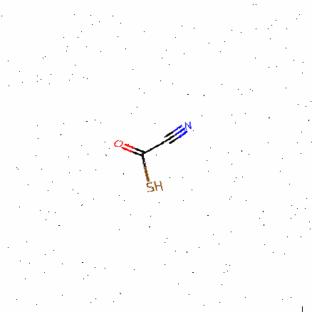 N#CC(=O)S